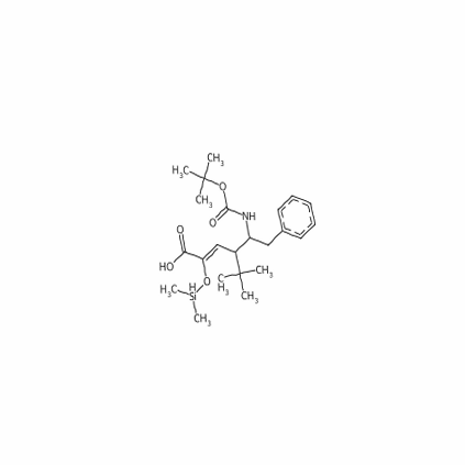 C[SiH](C)O/C(=C\C(C(Cc1ccccc1)NC(=O)OC(C)(C)C)C(C)(C)C)C(=O)O